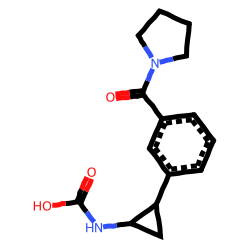 O=C(O)NC1CC1c1cccc(C(=O)N2CCCC2)c1